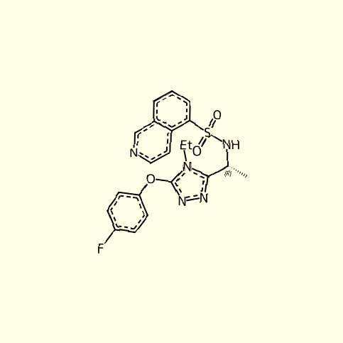 CCn1c(Oc2ccc(F)cc2)nnc1[C@@H](C)NS(=O)(=O)c1cccc2cnccc12